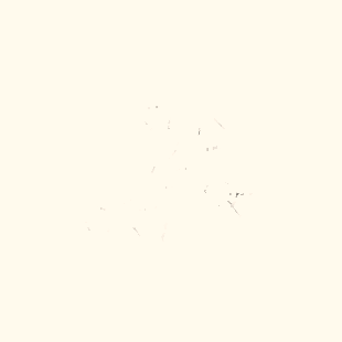 O=C1C(=O)C2C=CC1C=C2c1c2ccccc2c(-c2ccccc2)c2ccc(-c3cccc4c3oc3ccccc34)cc12